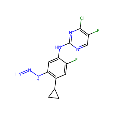 N=NNc1cc(Nc2ncc(F)c(Cl)n2)c(F)cc1C1CC1